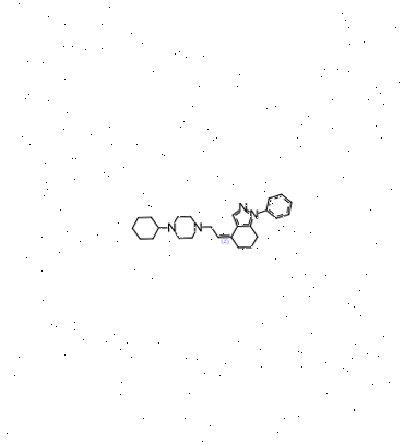 C(/CN1CCN(C2CCCCC2)CC1)=C1\CCCc2c1cnn2-c1ccccc1